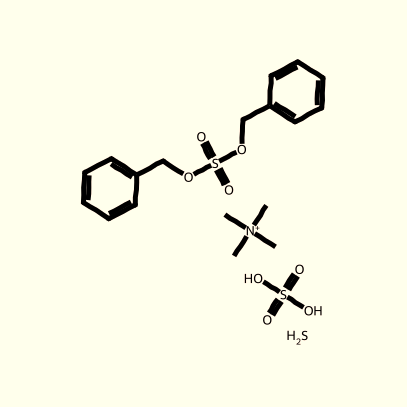 C[N+](C)(C)C.O=S(=O)(O)O.O=S(=O)(OCc1ccccc1)OCc1ccccc1.S